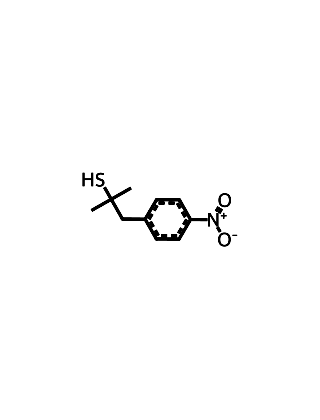 CC(C)(S)Cc1ccc([N+](=O)[O-])cc1